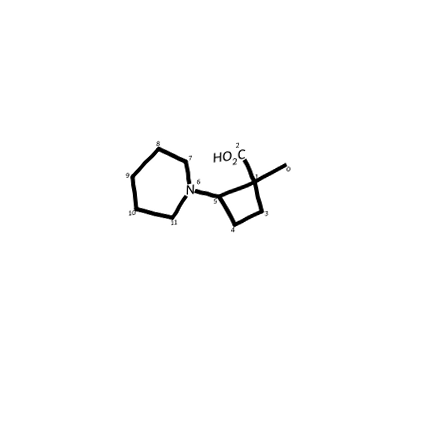 CC1(C(=O)O)CCC1N1CCCCC1